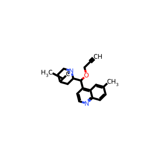 C#CCOC(c1ccnc2ccc(C)cc12)C1CC2CCN1CC2C